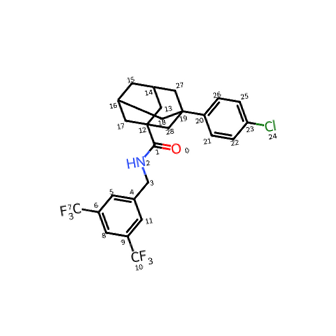 O=C(NCc1cc(C(F)(F)F)cc(C(F)(F)F)c1)C12CC3CC(C1)CC(c1ccc(Cl)cc1)(C3)C2